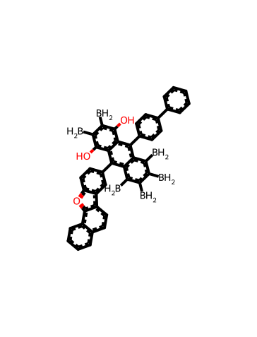 Bc1c(B)c(B)c2c(-c3ccc4oc5c6ccccc6ccc5c4c3)c3c(O)c(B)c(B)c(O)c3c(-c3ccc(-c4ccccc4)cc3)c2c1B